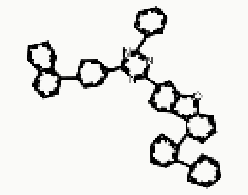 c1ccc(-c2nc(-c3ccc(-c4cccc5ccccc45)cc3)nc(-c3ccc4c(c3)oc3cccc(-c5ccccc5-c5ccccc5)c34)n2)cc1